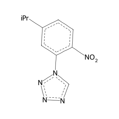 CC(C)c1ccc([N+](=O)[O-])c(-n2cnnn2)c1